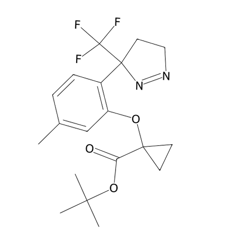 Cc1ccc(C2(C(F)(F)F)CCN=N2)c(OC2(C(=O)OC(C)(C)C)CC2)c1